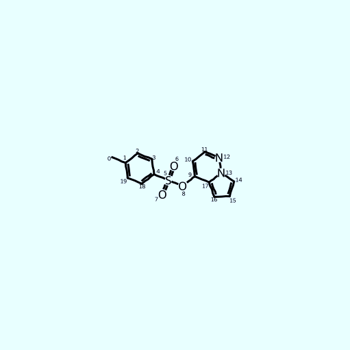 Cc1ccc(S(=O)(=O)Oc2ccnn3cccc23)cc1